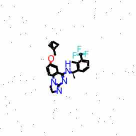 Cc1c([C@@H](C)NC2=NC3=NCCN3c3ccc(OCC45CC(C4)C5)cc32)cccc1C(F)(F)F